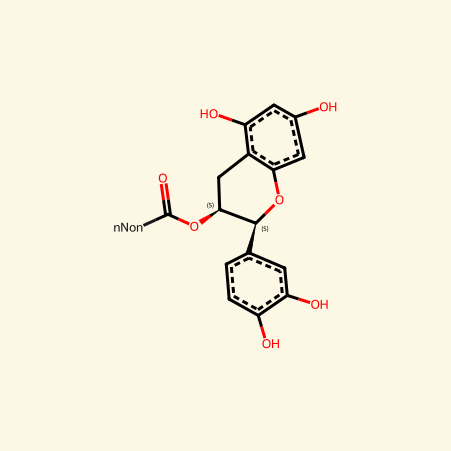 CCCCCCCCCC(=O)O[C@H]1Cc2c(O)cc(O)cc2O[C@H]1c1ccc(O)c(O)c1